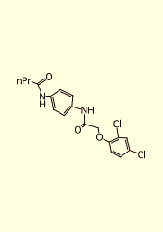 CCCC(=O)Nc1ccc(NC(=O)COc2ccc(Cl)cc2Cl)cc1